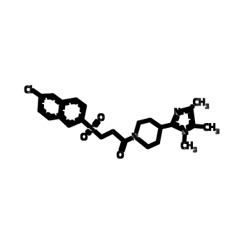 Cc1nc(C2CCN(C(=O)CCS(=O)(=O)c3ccc4cc(Cl)ccc4c3)CC2)n(C)c1C